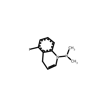 CN(C)N1C=CCc2c(I)cccc21